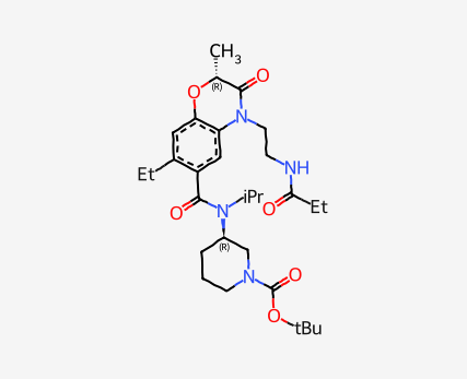 CCC(=O)NCCN1C(=O)[C@@H](C)Oc2cc(CC)c(C(=O)N(C(C)C)[C@@H]3CCCN(C(=O)OC(C)(C)C)C3)cc21